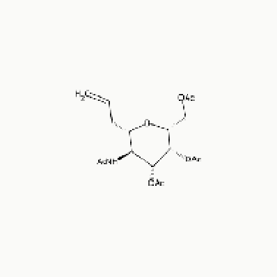 C=CC[C@@H]1O[C@H](COC(C)=O)[C@H](OC(C)=O)[C@H](OC(C)=O)[C@H]1NC(C)=O